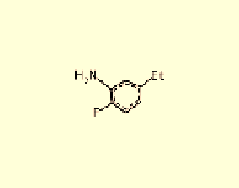 CCc1ccc(F)c(N)c1